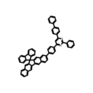 c1ccc(-c2ccc(-c3cc(-c4ccc(-c5ccc6cc7c(cc6c5)C5(c6ccccc6-c6ccccc65)c5cc6ccccc6cc5-7)cc4)nc(-c4ccccc4)n3)cc2)cc1